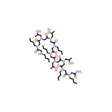 CCCCNCC(=O)N(CCCC)CC(=O)N(CC(=O)N(CC(=O)N(CCCC)CC(=O)N(CCCC)CC(=O)N(CC(=O)N(CC(=O)N(CCCC)CC(=O)N(CCCC)CC(N)=O)CC(C)O)CC(C)O)CC(C)O)CC(C)O